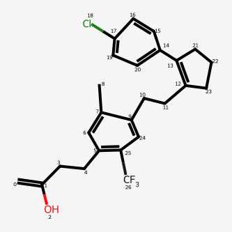 C=C(O)CCc1cc(C)c(CCC2=C(c3ccc(Cl)cc3)CCC2)cc1C(F)(F)F